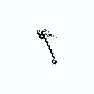 CCOOc1c(CCCCCCCCCCCN2C=COC2)ccc(CC)c1CC